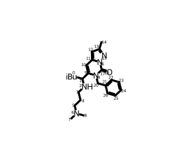 CCC(C)C(NCCCN(C)C)c1cc2cc(C)nn2c(=O)n1Cc1ccccc1